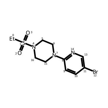 CCS(=O)(=O)N1CCN(c2ccc(Br)cn2)CC1